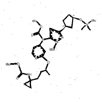 CC(CCC1(NC(=O)OC(C)(C)C)CC1)Oc1cc(N(C(=O)OC(C)(C)C)c2cc([C@H]3CC[C@@H](O[Si](C)(C)C(C)(C)C)C3)nn2C(C)(C)C)ccn1